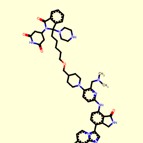 CN(C)Cc1nc(Nc2ccc(-c3cnc4cc(F)ccn34)c3c2C(=O)NC3)ccc1N1CCC(COCCCCCC2(N3CCNCC3)c3ccccc3C(=O)N2C2CC(=O)NC(=O)C2)CC1